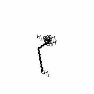 CCCCCCCCCCCCC/C=C\CCCCCOP(=O)(O)C(CC)[N+](C)(C)C